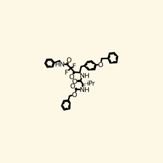 CC(C)[C@H](NC(=O)OCc1ccccc1)C(=O)NC(Cc1ccc(OCc2ccccc2)cc1)C(=O)C(F)(F)C(=O)NCc1ccccc1